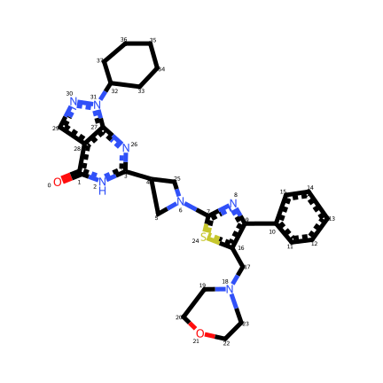 O=c1[nH]c(C2CN(c3nc(-c4ccccc4)c(CN4CCOCC4)s3)C2)nc2c1cnn2C1CCCCC1